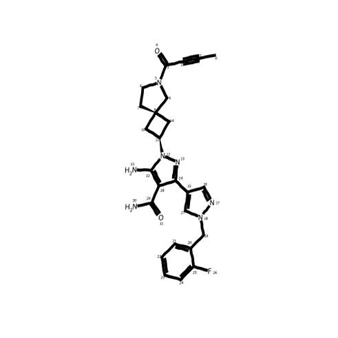 CC#CC(=O)N1CC[C@]2(C1)C[C@H](n1nc(-c3cnn(Cc4ccccc4F)c3)c(C(N)=O)c1N)C2